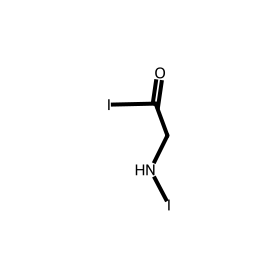 O=C(I)CNI